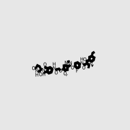 CCc1ccc2c(c1)c(=O)c(C(=O)Nc1ccc(Oc3ncnc4cc(OCC(=O)Nc5ccc6c(c5)C(=O)N(C5CCC(=O)NC5O)C6)c(OC)cc34)c(F)c1)c(C)n2C